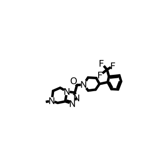 CN1CCn2c(nnc2C(=O)N2CCC(c3ccccc3C(F)(F)F)CC2)C1